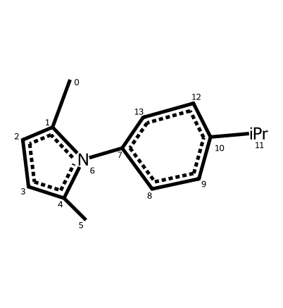 Cc1ccc(C)n1-c1ccc(C(C)C)cc1